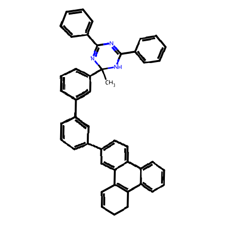 CC1(c2cccc(-c3cccc(-c4ccc5c(c4)c4c(c6ccccc65)CCC=C4)c3)c2)N=C(c2ccccc2)N=C(c2ccccc2)N1